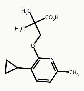 Cc1ccc(C2CC2)c(OCC(C)(C)C(=O)O)n1